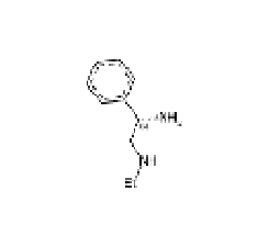 CCNC[C@@H](N)c1ccccc1